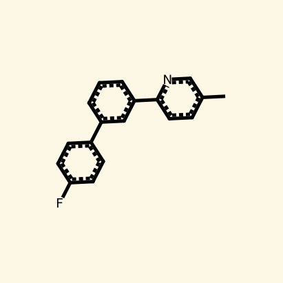 Cc1ccc(-c2cccc(-c3ccc(F)cc3)c2)nc1